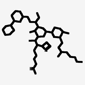 CCCCCC(C)CCC1CC(C2CC(C(CC)CCC3CCCC(C4CCCCC4)C3)C(C)C(C(C)C(CCCCNC)C3CC=N3)C2)CCC1C